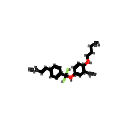 COc1cc(OC(F)(F)c2ccc(/C=C/C(=O)O)cc2)ccc1OCCCC(F)(F)F